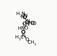 CCOCCN(C)c1ccc(NC(=O)N2CCc3c(-c4cnc(N)nc4)nc(N4CCOCC4)nc32)cc1